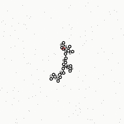 c1ccc(-n2c3ccc(-c4ccc5c(c4)oc4c5ccc5c4ccc4c6ccc(-c7cccc8c7oc7ccc9c(ccc%10c%11ccccc%11n(-c%11nc%12c%13c(cccc%13n%11)Oc%11ccccc%11-%12)c9%10)c78)cc6n(-c6nc7c8c(cccc8n6)Oc6ccccc6-7)c54)cc3c3c4oc5ccccc5c4c4c5ccccc5n(-c5nc6c7c(cccc7n5)Oc5ccccc5-6)c4c32)cc1